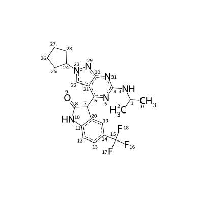 CC(C)Nc1nc(C2C(=O)Nc3ccc(C(F)(F)F)cc32)c2cn(C3CCCC3)nc2n1